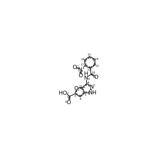 O=C(O)c1cc2[nH]nc(NC(=O)c3ccccc3[N+](=O)[O-])c2o1